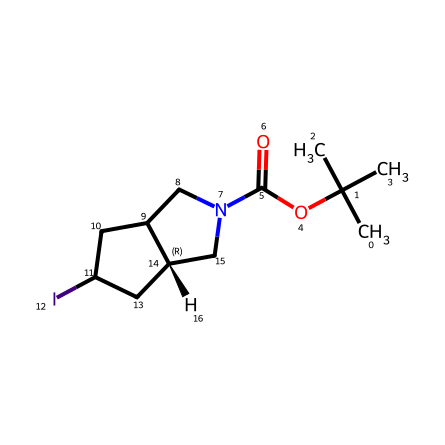 CC(C)(C)OC(=O)N1CC2CC(I)C[C@H]2C1